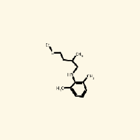 CCOCCC(C)CNc1c(C)cccc1C